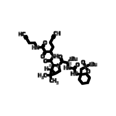 C#CCCNC(=O)C(=O)C(CCC#C)NC(=O)[C@@H]1[C@@H]2C(CN1C(=O)[C@@H](NC(=O)NC1(CS(=O)(=O)C(C)(C)C)CCCCC1)C(C)(C)C)C2(C)C